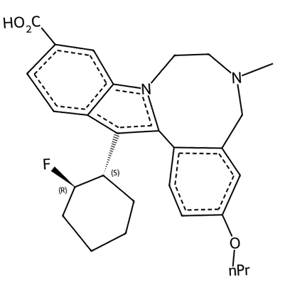 CCCOc1ccc2c(c1)CN(C)CCn1c-2c([C@@H]2CCCC[C@H]2F)c2ccc(C(=O)O)cc21